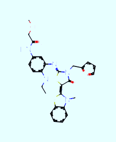 CCNc1ccc(NC(=O)COC)cc1/N=C1\S/C(=C2\Sc3ccccc3N2C)C(=O)N1Cc1ccco1